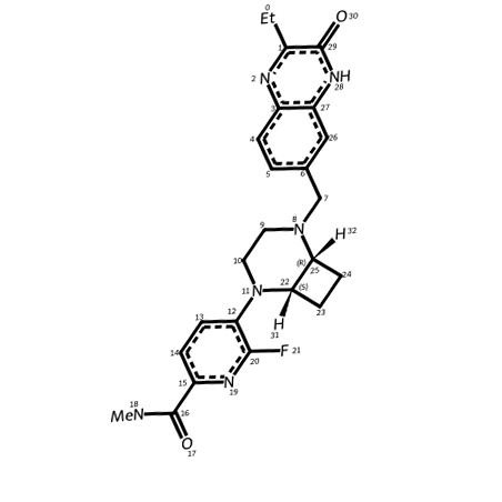 CCc1nc2ccc(CN3CCN(c4ccc(C(=O)NC)nc4F)[C@H]4CC[C@H]43)cc2[nH]c1=O